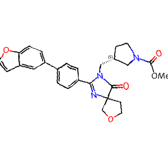 COC(=O)N1CC[C@@H](CN2C(=O)C3(CCOC3)N=C2c2ccc(-c3ccc4occc4c3)cc2)C1